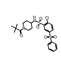 CC(C)(C)C(=O)N1CCC(NS(=O)(=O)c2cc(S(=O)(=O)c3ccccc3)ccc2Cl)CC1